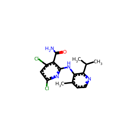 Cc1ccnc(C(C)C)c1Nc1nc(Cl)cc(Cl)c1C(N)=O